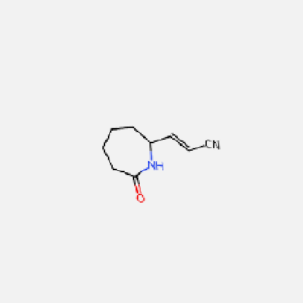 N#CC=CC1CCCCC(=O)N1